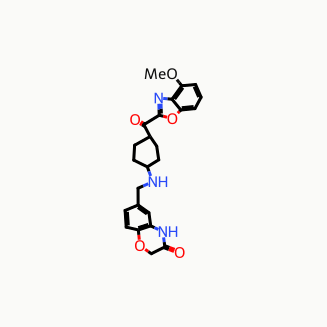 COc1cccc2oc(C(=O)C3CCC(NCc4ccc5c(c4)NC(=O)CO5)CC3)nc12